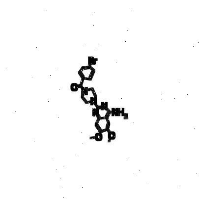 COc1cc2nc(N3CCN(C(=O)c4ccc(Br)cc4)CC3)nc(N)c2cc1OC